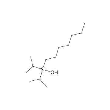 CCCCCCC[Si](O)(C(C)C)C(C)C